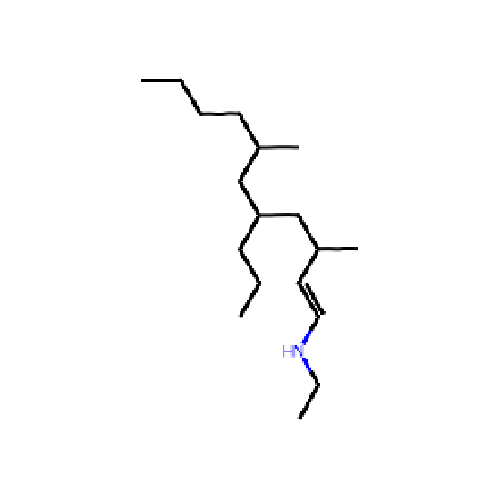 CCCCC(C)CC(CCC)CC(C)C=CNCC